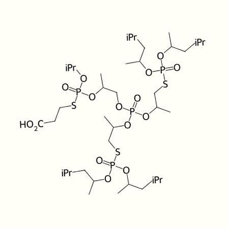 CC(C)CC(C)OP(=O)(OC(C)CC(C)C)SCC(C)OP(=O)(OCC(C)OP(=O)(OC(C)C)SCCC(=O)O)OC(C)CSP(=O)(OC(C)CC(C)C)OC(C)CC(C)C